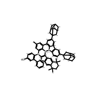 Cc1cc2c3c(c1)N(c1ccc(C(C)(C)C)cc1-c1ccccc1)c1sc4cc5c(cc4c1B3n1c3ccc(C46CC7CC(CC(C7)C4)C6)cc3c3cc(C46CC7CC(CC(C7)C4)C6)cc-2c31)C(C)(C)CCC5(C)C